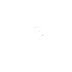 C=C(NC(C)(CC)C1CCCCC1)c1ccnn1C